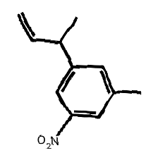 C=C[C](C)c1cc(C)cc([N+](=O)[O-])c1